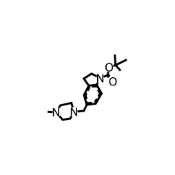 CN1CCN(Cc2ccc3c(c2)CCN3C(=O)OC(C)(C)C)CC1